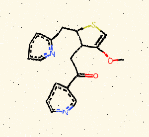 COC1=CSC(Cc2ccccn2)C1CC(=O)c1cccnc1